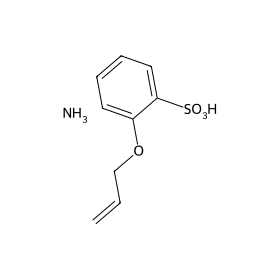 C=CCOc1ccccc1S(=O)(=O)O.N